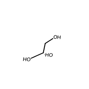 OCCO.[OH]